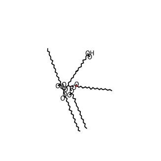 CCCCCCCCCCCCCCCCCC(=O)OCC(COC(=O)CCCCCCCCCCCCCCCCC)OC(=O)C(CCCCCCC=CCCCCCCCC(=O)O)C(COC(=O)CCCCCCCCCCCCCCCCC)COC(=O)CCCCCCCCCCCCCCCCC